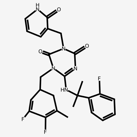 CC1=C(F)C(F)=CC(Cn2c(NC(C)(C)c3ccccc3F)nc(=O)n(Cc3ccc[nH]c3=O)c2=O)C1